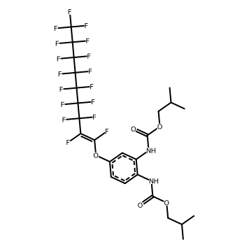 CC(C)COC(=O)Nc1ccc(OC(F)=C(F)C(F)(F)C(F)(F)C(F)(F)C(F)(F)C(F)(F)C(F)(F)C(F)(F)F)cc1NC(=O)OCC(C)C